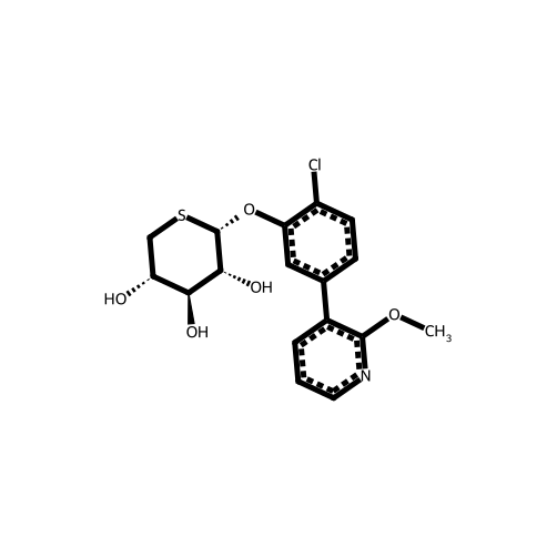 COc1ncccc1-c1ccc(Cl)c(O[C@H]2SC[C@@H](O)[C@H](O)[C@H]2O)c1